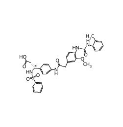 COc1cc(CC(=O)Nc2ccc([C@@H](CC(=O)O)NS(=O)(=O)c3ccccc3)cc2)ccc1NC(=O)Nc1ccccc1C